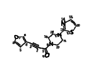 O=C(C#Cc1ccoc1)N1CCN(c2nccs2)CC1